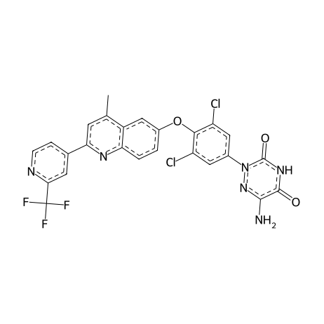 Cc1cc(-c2ccnc(C(F)(F)F)c2)nc2ccc(Oc3c(Cl)cc(-n4nc(N)c(=O)[nH]c4=O)cc3Cl)cc12